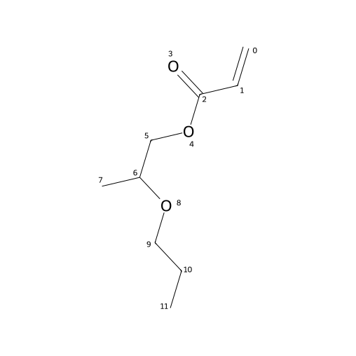 C=CC(=O)OCC(C)OCCC